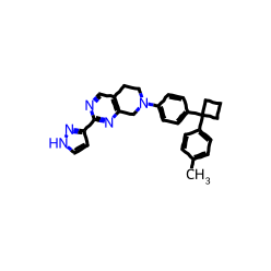 Cc1ccc(C2(c3ccc(N4CCc5cnc(-c6cc[nH]n6)nc5C4)cc3)CCC2)cc1